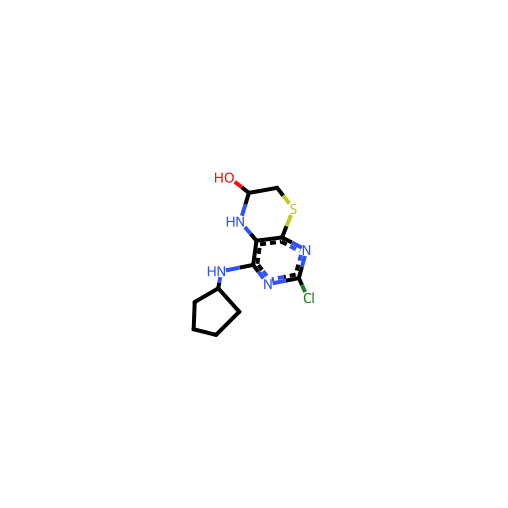 OC1CSc2nc(Cl)nc(NC3CCCC3)c2N1